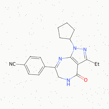 CCc1nn(C2CCCC2)c2c1C(=O)NCC(c1ccc(C#N)cc1)=N2